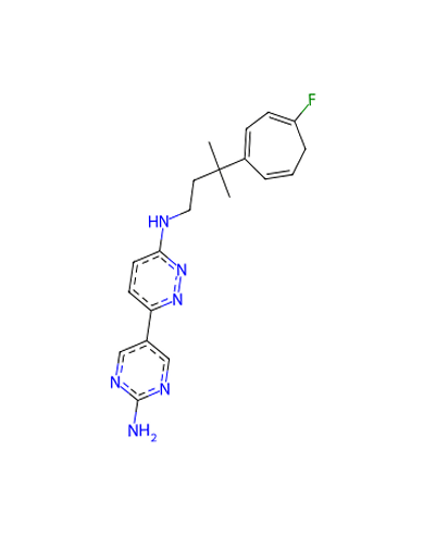 CC(C)(CCNc1ccc(-c2cnc(N)nc2)nn1)C1=CC=C(F)CC=C1